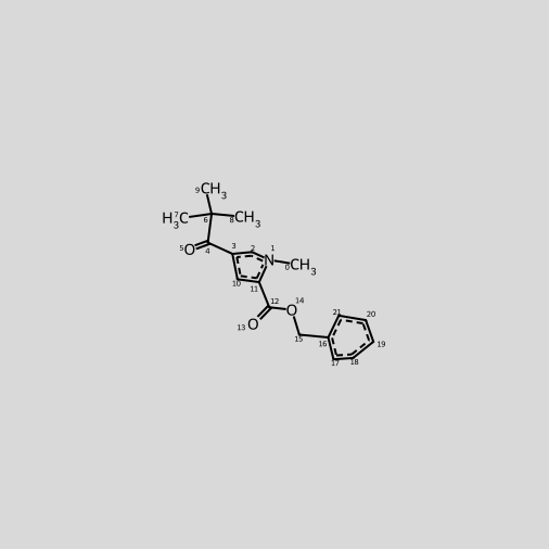 Cn1cc(C(=O)C(C)(C)C)cc1C(=O)OCc1ccccc1